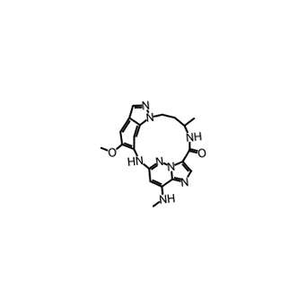 CNc1cc2nn3c(cnc13)C(=O)NC(C)CCn1ncc3cc(OC)c(cc31)N2